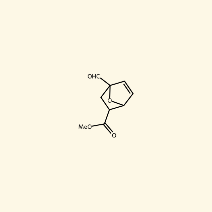 COC(=O)C1CC2(C=O)C=CC1O2